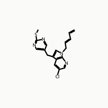 C=C/C=C/Cn1cc(Cc2cnc(SC)nc2)c2cc(Cl)cnc21